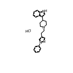 Cl.c1ccc(-n2cc(CCN3CCC(c4c[nH]c5ccccc45)CC3)cn2)cc1